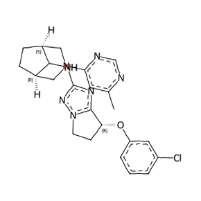 Cc1cc(N2C[C@H]3CC[C@@H](C2)C3Nc2nc3n(n2)CC[C@H]3Oc2cccc(Cl)c2)ncn1